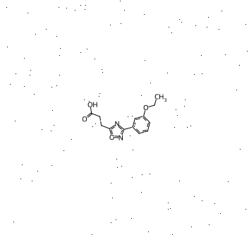 CCOc1cccc(-c2noc(CCC(=O)O)n2)c1